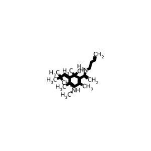 C=CCCNC(=C)C1=C(C)C(NC)=C(C)/C(=C\C(C)(C)C)C1(C)C